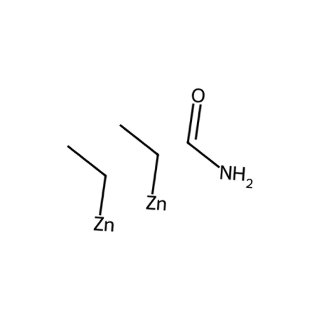 C[CH2][Zn].C[CH2][Zn].NC=O